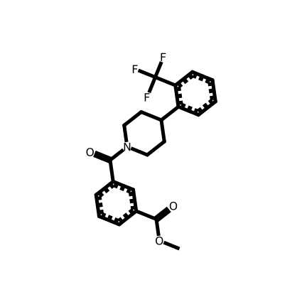 COC(=O)c1cccc(C(=O)N2CCC(c3ccccc3C(F)(F)F)CC2)c1